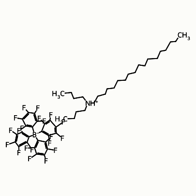 CCCCCCCCCCCCCCCCCC[NH+](CCCC)CCCC.Fc1c(F)c(F)c([B-](c2c(F)c(F)c(F)c(F)c2F)(c2c(F)c(F)c(F)c(F)c2F)c2c(F)c(F)c(F)c(F)c2F)c(F)c1F